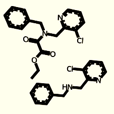 CCOC(=O)C(=O)N(Cc1ccccc1)Cc1ncccc1Cl.Clc1cccnc1CNCc1ccccc1